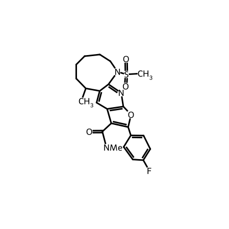 CNC(=O)c1c(-c2ccc(F)cc2)oc2nc3c(cc12)C(C)CCCCCN3S(C)(=O)=O